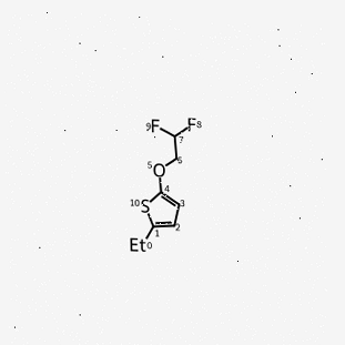 CCc1ccc(OCC(F)F)s1